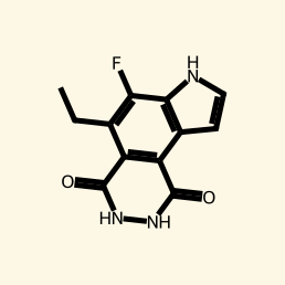 CCc1c(F)c2[nH]ccc2c2c(=O)[nH][nH]c(=O)c12